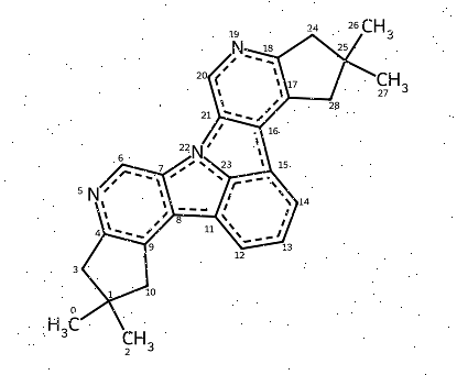 CC1(C)Cc2ncc3c(c2C1)c1cccc2c4c5c(ncc4n3c12)CC(C)(C)C5